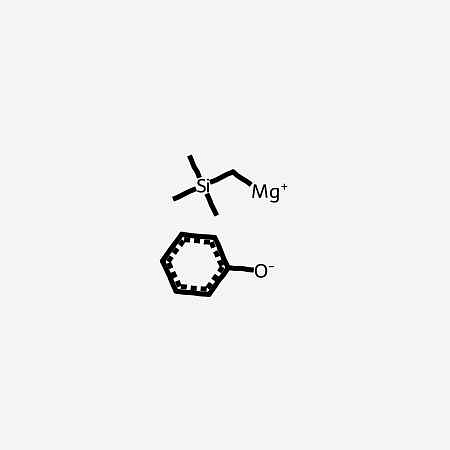 C[Si](C)(C)[CH2][Mg+].[O-]c1ccccc1